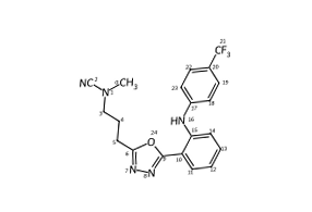 CN(C#N)CCCc1nnc(-c2ccccc2Nc2ccc(C(F)(F)F)cc2)o1